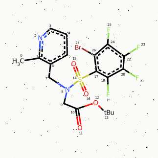 Cc1ncccc1CN(CC(=O)OC(C)(C)C)S(=O)(=O)c1c(F)c(F)c(F)c(F)c1Br